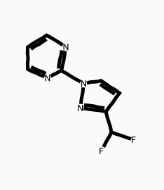 FC(F)c1ccn(-c2ncccn2)n1